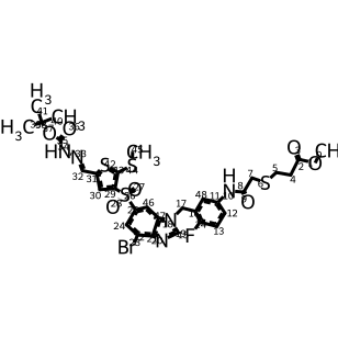 COC(=O)CCSCC(=O)Nc1ccc(F)c(Cn2cnc3c(Br)cc(S(=O)(=O)c4cc(C=NNC(=O)OC(C)(C)C)sc4SC)cc32)c1